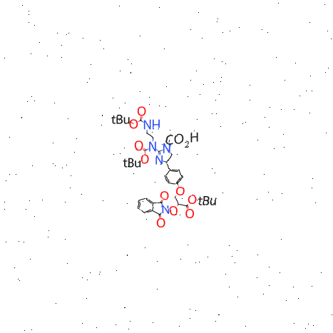 CC(C)(C)OC(=O)NCCN(C(=O)OC(C)(C)C)C1=NC(c2ccc(OCC(ON3C(=O)c4ccccc4C3=O)C(=O)OC(C)(C)C)cc2)CN1C(=O)O